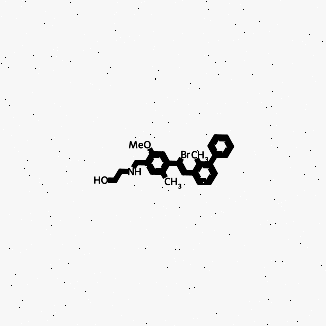 COc1cc(/C(Br)=C/c2cccc(-c3ccccc3)c2C)c(C)cc1CNCCO